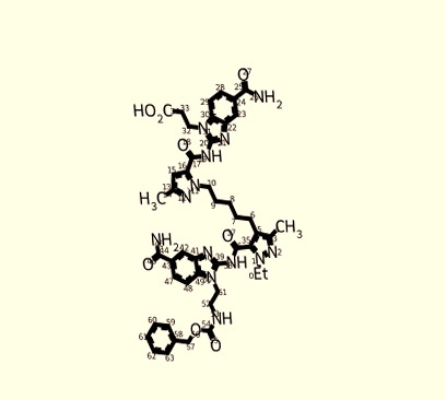 CCn1nc(C)c(CCCCCn2nc(C)cc2C(=O)Nc2nc3cc(C(N)=O)ccc3n2CCC(=O)O)c1C(=O)Nc1nc2cc(C(N)=O)ccc2n1CCNC(=O)OCc1ccccc1